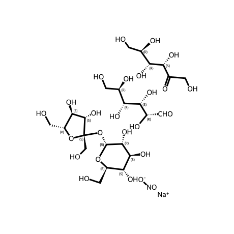 O=C(CO)[C@@H](O)[C@H](O)[C@H](O)CO.O=C[C@H](O)[C@@H](O)[C@H](O)[C@H](O)CO.O=N[O-].OC[C@H]1O[C@@](CO)(O[C@H]2O[C@H](CO)[C@@H](O)[C@H](O)[C@H]2O)[C@@H](O)[C@@H]1O.[Na+]